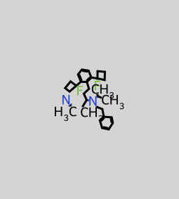 CC#N.CCC(CCc1c(C2(F)CCC2)cccc1C1(F)CCC1)N(CCc1ccccc1)C(C)C